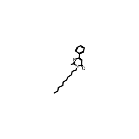 CCCCCCCCCCn1c(C)nc(-c2ccccc2)cc1=O